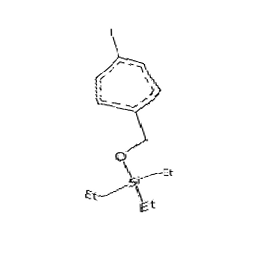 CC[Si](CC)(CC)OCc1ccc(I)cc1